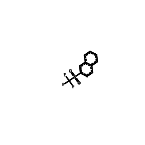 O=S(=O)(c1[c]cc2ccccc2c1)C(F)(F)F